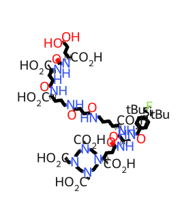 CC(C)(C)[Si](F)(c1ccc(C(=O)NC[C@@H](NC(=O)CC[C@@H](C(=O)O)N2CCN(CC(=O)O)CCN(CC(=O)O)CCN(CC(=O)O)CC2)C(=O)N[C@H](CCCCNC(=O)CCC(=O)NCCC[C@@H](NC(=O)CC[C@H](NC(=O)N[C@@H](CCC(O)O)C(=O)O)C(=O)O)C(=O)O)C(=O)O)cc1)C(C)(C)C